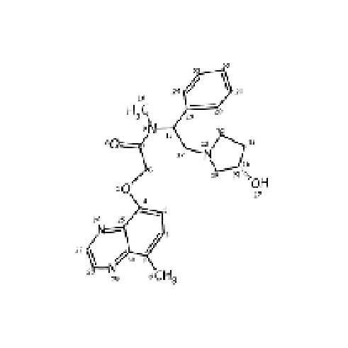 Cc1ccc(OCC(=O)N(C)C(CN2CC[C@H](O)C2)c2ccccc2)c2nccnc12